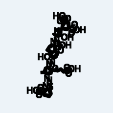 Cc1cc(N=Nc2ccc3c(S(=O)(=O)O)c(N=Nc4cnn(-c5cc(S(=O)(=O)O)cc(S(=O)(=O)O)c5)c4O)ccc3c2O)c(OCCCS(=O)(=O)O)cc1N=Nc1nc2c(S(=O)(=O)O)cccc2s1